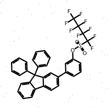 O=S(=O)(Oc1cccc(-c2ccc3c(c2)C(c2ccccc2)(c2ccccc2)c2ccccc2-3)c1)C(F)(F)C(F)(F)C(F)(F)C(F)(F)F